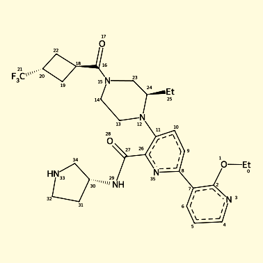 CCOc1ncccc1-c1ccc(N2CCN(C(=O)[C@H]3C[C@H](C(F)(F)F)C3)C[C@H]2CC)c(C(=O)N[C@@H]2CCNC2)n1